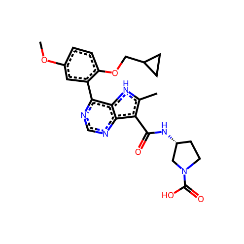 COc1ccc(OCC2CC2)c(-c2ncnc3c(C(=O)N[C@@H]4CCN(C(=O)O)C4)c(C)[nH]c23)c1